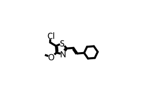 COc1nc(C=CC2CCCCC2)sc1CCl